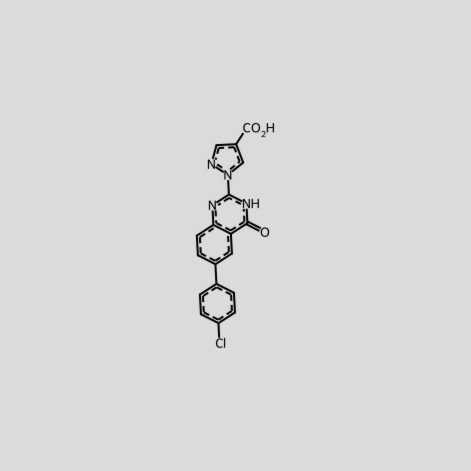 O=C(O)c1cnn(-c2nc3ccc(-c4ccc(Cl)cc4)cc3c(=O)[nH]2)c1